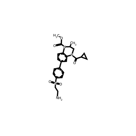 COC(=O)N1c2ccc(-c3ccc(S(=O)(=O)CCN)cc3)cc2N(C(=O)C2CC2)CC1C